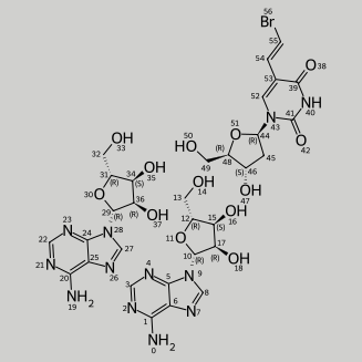 Nc1ncnc2c1ncn2[C@@H]1O[C@H](CO)[C@@H](O)[C@H]1O.Nc1ncnc2c1ncn2[C@@H]1O[C@H](CO)[C@@H](O)[C@H]1O.O=c1[nH]c(=O)n([C@H]2C[C@H](O)[C@@H](CO)O2)cc1C=CBr